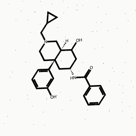 O=C(N[C@H]1CC(O)[C@@H]2CN(CC3CC3)CC[C@@]2(c2cccc(O)c2)C1)c1ccccc1